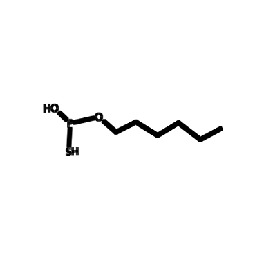 CCCCCCOP(O)S